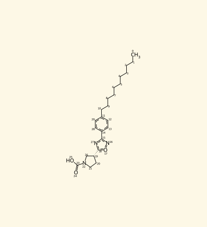 CCCCCCCCCCCc1ccc(-c2noc([C@@H]3CCN(C(=O)O)C3)n2)cc1